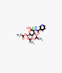 CC(=O)OC[C@H]1OC(O)(Cl)[C@H](NC(=O)c2cccnc2)[C@@H](OC(C)=O)[C@@H]1OC(C)=O